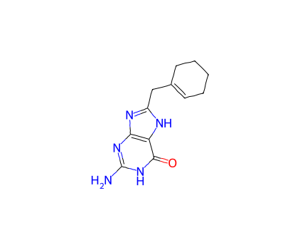 Nc1nc2nc(CC3=CCCCC3)[nH]c2c(=O)[nH]1